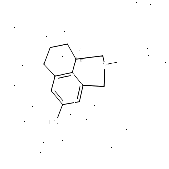 CCN1Cc2cc(N)cc3c2[C@@](C)(CCC3)C1